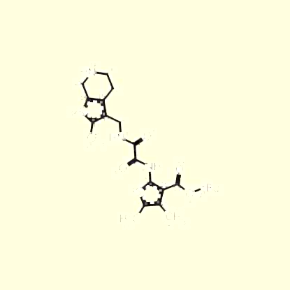 Cc1sc(NC(=O)C(=O)NCc2c(C(F)(F)F)sc3c2CCNC3)c(C(=O)OC(C)(C)C)c1C